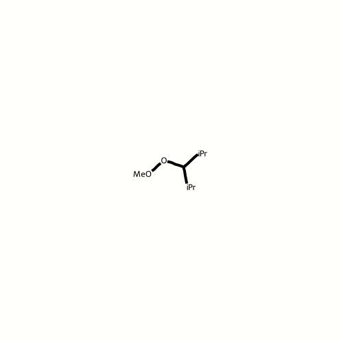 [C]OO[C](C(C)C)C(C)C